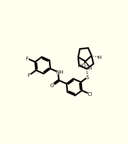 O=C(Nc1ccc(F)c(F)c1)c1ccc(Cl)c(S[C@@H]2CC3CC[C@@H](C2)[C@@H]3O)c1